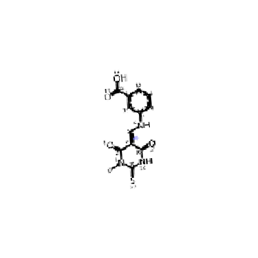 CN1C(=O)/C(=C/Nc2cccc(C(=O)O)c2)C(=O)NC1=S